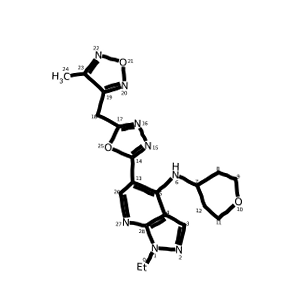 CCn1ncc2c(NC3CCOCC3)c(-c3nnc(Cc4nonc4C)o3)cnc21